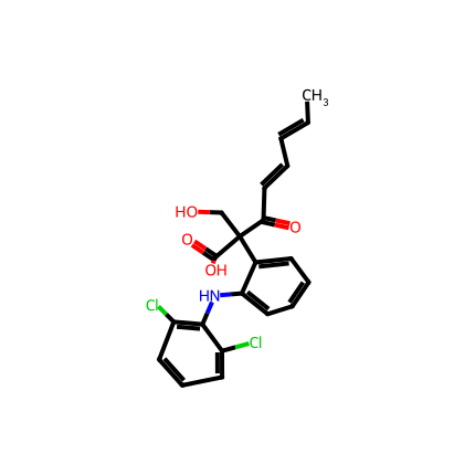 CC=CC=CC(=O)C(CO)(C(=O)O)c1ccccc1Nc1c(Cl)cccc1Cl